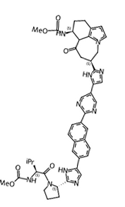 COC(=O)N[C@H]1CCc2ccn3c2C1C(=O)C[C@H](c1ncc(-c2cnc(-c4ccc5cc(-c6cnc([C@@H]7CCCN7C(=O)[C@@H](NC(=O)OC)C(C)C)[nH]6)ccc5c4)nc2)[nH]1)C3